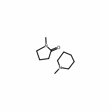 CN1CCCC1=O.CN1CCCCC1